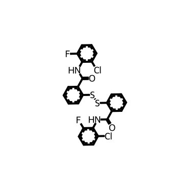 O=C(Nc1c(F)cccc1Cl)c1ccccc1SSc1ccccc1C(=O)Nc1c(F)cccc1Cl